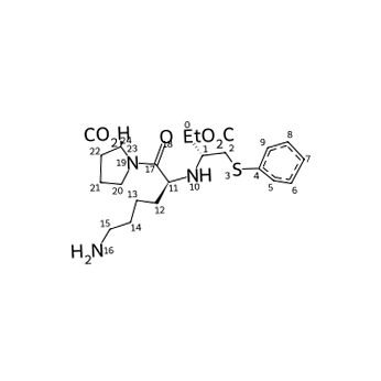 CCOC(=O)[C@H](CSc1ccccc1)N[C@@H](CCCCN)C(=O)N1CCC[C@H]1C(=O)O